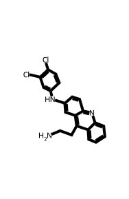 NCCc1c2ccccc2nc2ccc(Nc3ccc(Cl)c(Cl)c3)cc12